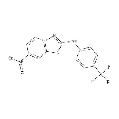 O=[N+]([O-])c1ccc2nc(Nc3ccc(C(F)(F)F)cc3)sc2c1